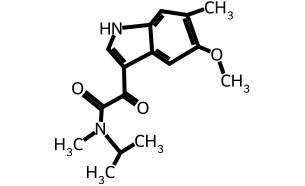 COc1cc2c(C(=O)C(=O)N(C)C(C)C)c[nH]c2cc1C